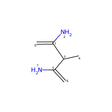 C=C(N)C(C)C(=C)N